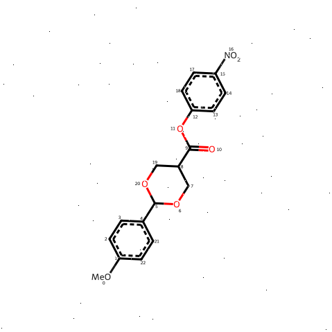 COc1ccc(C2OCC(C(=O)Oc3ccc([N+](=O)[O-])cc3)CO2)cc1